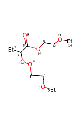 CCOCCOOC(CC)C(=O)OCCOCC